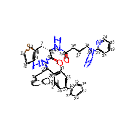 O=C(O)CC(NC(=O)[C@H](Cc1cccs1)NC(=O)CCCNc1ccccn1)c1ccc(-c2ccccc2)cc1